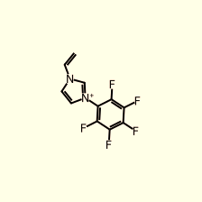 C=Cn1cc[n+](-c2c(F)c(F)c(F)c(F)c2F)c1